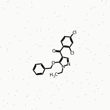 CCn1ncc(C(=O)c2ccc(Cl)cc2Cl)c1OCc1ccccc1